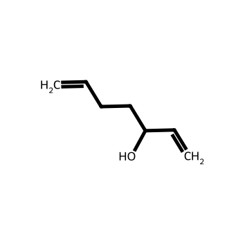 C=CCCC(O)C=C